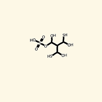 O=S(=O)(O)OC(O)C([C](O)S)C(O)S